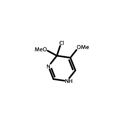 COC1=CNC=NC1(Cl)OC